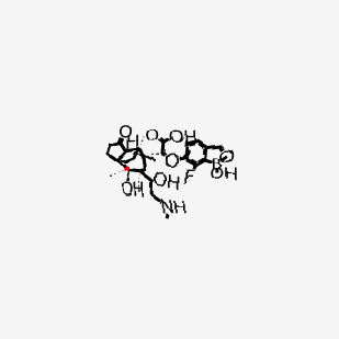 CNC[C@H](O)[C@]1(C)C[C@@H](C(Oc2ccc3c(c2F)B(O)OC3)C(=O)O)[C@@]2(C)[C@H](C)CC[C@]3(CCC(=O)[C@H]32)[C@@H](C)[C@@H]1O